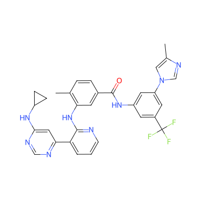 Cc1cn(-c2cc(NC(=O)c3ccc(C)c(Nc4ncccc4-c4cc(NC5CC5)ncn4)c3)cc(C(F)(F)F)c2)cn1